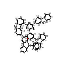 c1ccc(-n2c3ccccc3c3cc(-c4ccc5oc6cccc(-c7nc(-c8cccc(-n9c%10ccccc%10c%10ccccc%109)c8)nc(-c8ccc9c(c8)oc8ccccc89)n7)c6c5c4)ccc32)cc1